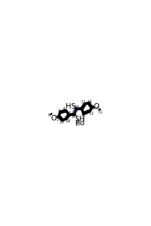 COc1ccc(/C(S)=C(\S)c2ccc(OC)cc2)cc1.[Pd]